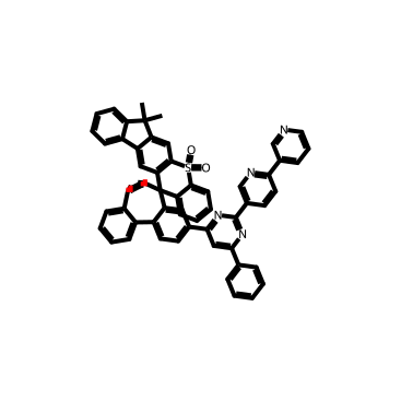 CC1(C)c2ccccc2-c2cc3c(cc21)S(=O)(=O)c1ccccc1C31c2ccccc2-c2ccccc2-c2ccc(-c3cc(-c4ccccc4)nc(-c4ccc(-c5cccnc5)nc4)n3)cc21